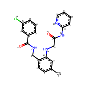 N#Cc1ccc(CNC(=O)c2cccc(Cl)c2)c(NCC(=O)Nc2ccccn2)c1